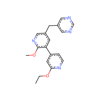 CCOc1cc(-c2cc(Cc3cncnc3)cnc2OC)ccn1